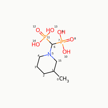 CC1CCCN(C(P(=O)(O)O)P(=O)(O)O)C1